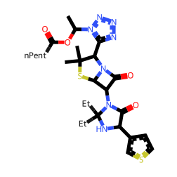 CCCCCC(=O)OC(C)n1nnnc1C1N2C(=O)C(N3C(=O)C(c4ccsc4)NC3(CC)CC)C2SC1(C)C